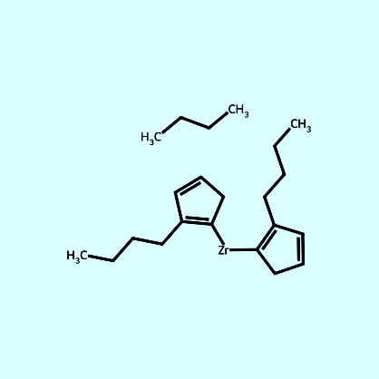 CCCC.CCCCC1=[C]([Zr][C]2=C(CCCC)C=CC2)CC=C1